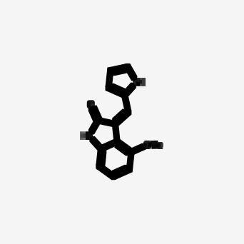 COc1cccc2c1C(=Cc1ccc[nH]1)C(=O)N2